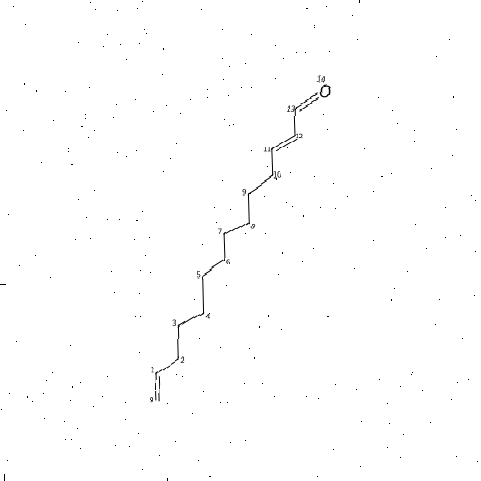 C=CCCCCCCCCCC=CC=O